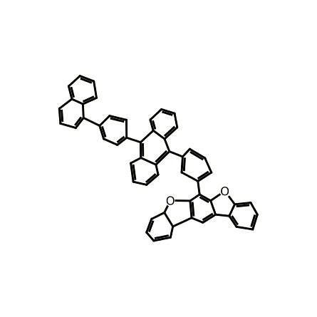 C1=CC2Oc3c(cc4c(oc5ccccc54)c3-c3cccc(-c4c5ccccc5c(-c5ccc(-c6cccc7ccccc67)cc5)c5ccccc45)c3)C2C=C1